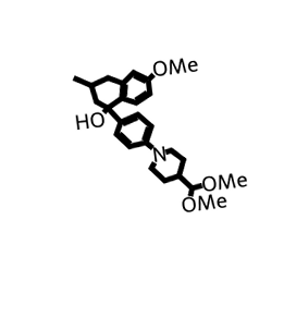 COc1ccc2c(c1)CC(C)CC2(O)c1ccc(N2CCC(C(OC)OC)CC2)cc1